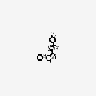 CCC(CC)(NC(=O)c1cnn2c1NC(c1ccccc1)CC2C)c1ccc(C(F)(F)F)cc1